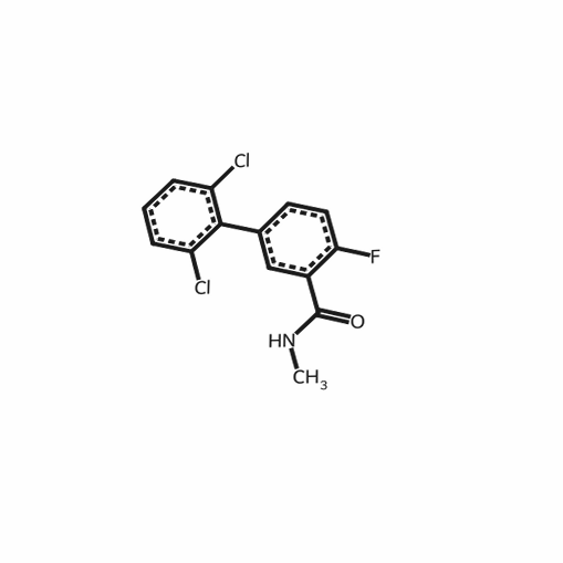 CNC(=O)c1cc(-c2c(Cl)cccc2Cl)ccc1F